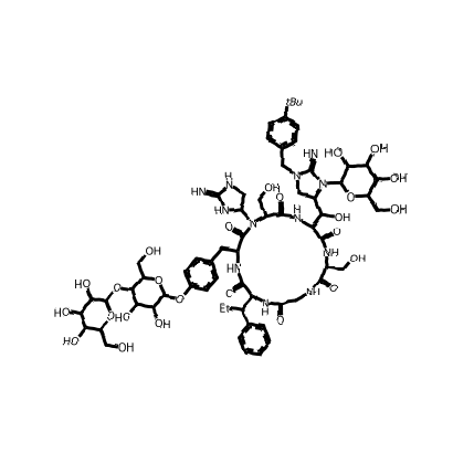 CCC(c1ccccc1)C1NC(=O)CNC(=O)C(CO)NC(=O)C(C(O)C2CN(Cc3ccc(C(C)(C)C)cc3)C(=N)N2C2OC(CO)C(O)C(O)C2O)NC(=O)C(CO)N(C2CNC(=N)N2)C(=O)C(Cc2ccc(OC3OC(CO)C(OC4OC(CO)C(O)C(O)C4O)C(O)C3O)cc2)NC1=O